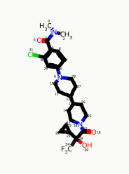 CN(C)C(=O)c1ccc(N2CCC(C3CCN(C(=O)C(O)(C4CC4)C(F)(F)F)CC3)CC2)cc1Cl